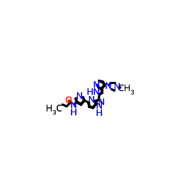 CCCC(=O)Nc1cncc(-c2ccc3[nH]nc(-c4cc5c(N6CCN(C)CC6)ccnc5[nH]4)c3n2)c1